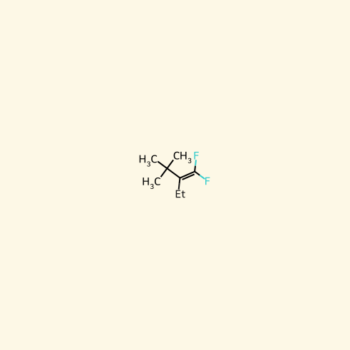 CCC(=C(F)F)C(C)(C)C